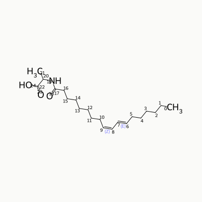 CCCCCC/C=C/C=C\CCCCCCCC(=O)NC(C)C(=O)O